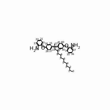 CCCCCCCCCCCCC(C)(c1ccc(Oc2ccccc2N)cc1)c1ccc(Oc2ccccc2N)cc1